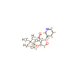 CC(C)(C)[Si](C)(C)O[C@@H]1CO[C@H](c2cccnc2)[C@@H]1C=O